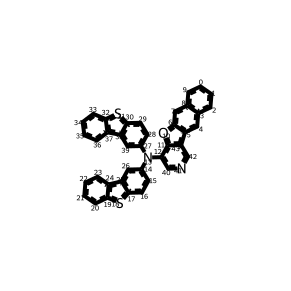 c1ccc2cc3c(cc2c1)oc1c(N(c2ccc4sc5ccccc5c4c2)c2ccc4sc5ccccc5c4c2)cncc13